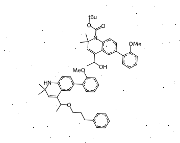 COc1ccccc1-c1ccc2c(c1)C(C(C)O)=CC(C)(C)N2C(=O)OC(C)(C)C.COc1ccccc1-c1ccc2c(c1)C(C(C)OCCCc1ccccc1)=CC(C)(C)N2